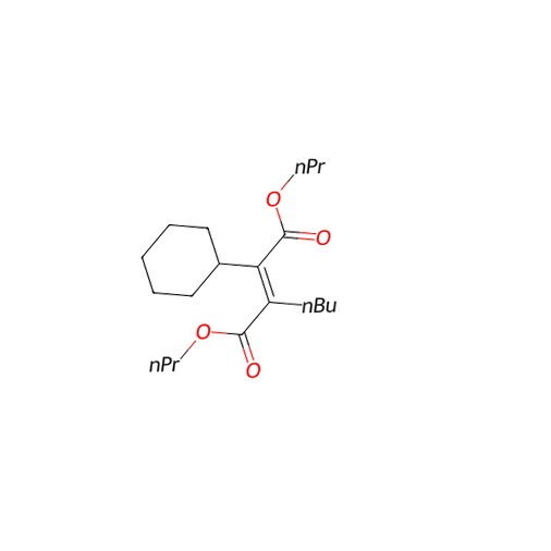 CCCCC(C(=O)OCCC)=C(C(=O)OCCC)C1CCCCC1